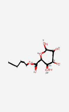 CCCCOC(=O)C1OC(O)C(O)C(O)C1O